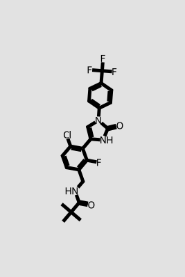 CC(C)(C)C(=O)NCc1ccc(Cl)c(-c2cn(-c3ccc(C(F)(F)F)cc3)c(=O)[nH]2)c1F